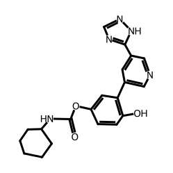 O=C(NC1CCCCC1)Oc1ccc(O)c(-c2cncc(-c3ncn[nH]3)c2)c1